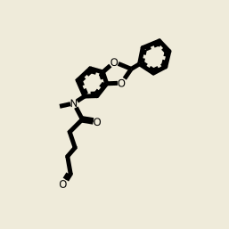 CN(C(=O)CCCC=O)c1ccc2c(c1)OC(c1ccccc1)O2